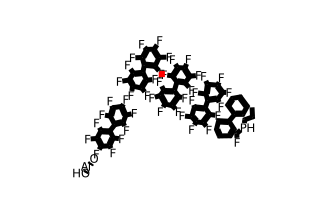 CCCPCF.Fc1c(F)c(F)c(-c2c(F)c(F)c(F)c(F)c2F)c(F)c1F.Fc1c(F)c(F)c(-c2c(F)c(F)c(F)c(F)c2F)c(F)c1F.Fc1c(F)c(F)c(-c2c(F)c(F)c(F)c(F)c2F)c(F)c1F.Fc1c(F)c(F)c(-c2c(F)c(F)c(F)c(F)c2F)c(F)c1F.[O]=[Al][OH].c1ccc(-c2ccccc2)cc1